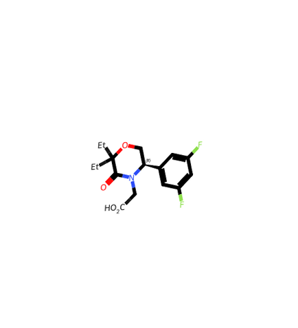 CCC1(CC)OC[C@@H](c2cc(F)cc(F)c2)N(CC(=O)O)C1=O